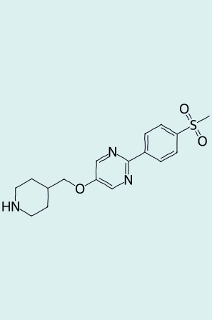 CS(=O)(=O)c1ccc(-c2ncc(OCC3CCNCC3)cn2)cc1